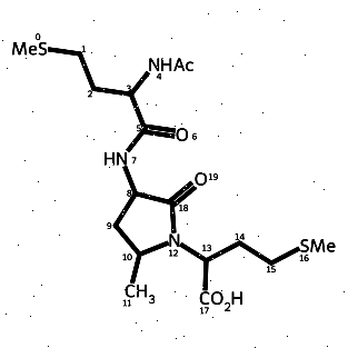 CSCCC(NC(C)=O)C(=O)NC1CC(C)N(C(CCSC)C(=O)O)C1=O